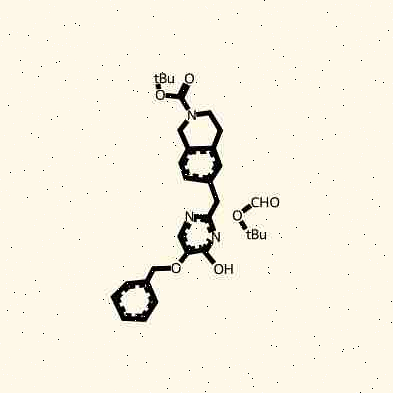 CC(C)(C)OC(=O)N1CCc2cc(Cc3ncc(OCc4ccccc4)c(O)n3)ccc2C1.CC(C)(C)OC=O